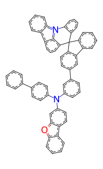 c1ccc(-c2ccc(N(c3cccc(-c4ccc5c(c4)-c4ccccc4C54c5ccccc5-n5c6ccccc6c6cccc4c65)c3)c3ccc4c(c3)oc3ccccc34)cc2)cc1